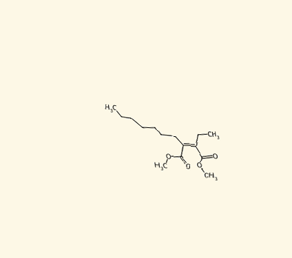 CCCCCCC/C(C(=O)OC)=C(\CC)C(=O)OC